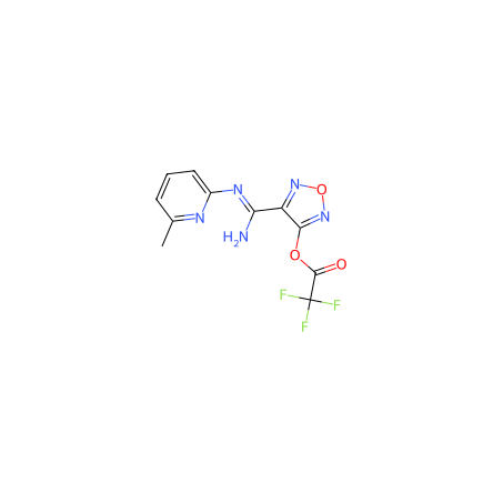 Cc1cccc(N=C(N)c2nonc2OC(=O)C(F)(F)F)n1